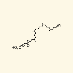 CC(C)CCCC(C)CCCC(C)CCCCC(C)CCCC(C)CCOC(=O)COCC(=O)O